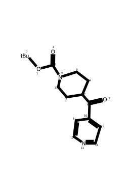 CC(C)(C)OC(=O)N1CCC(C(=O)c2ccncc2)CC1